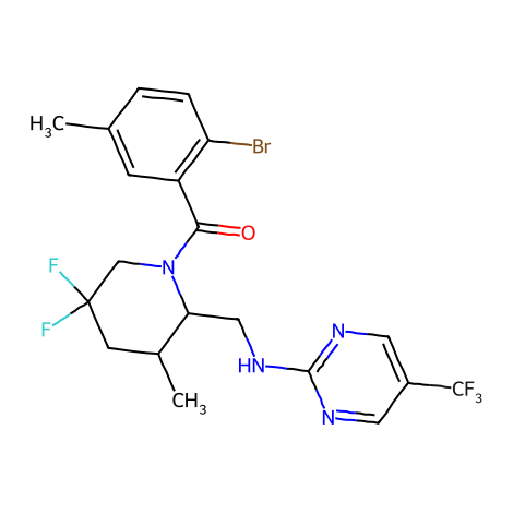 Cc1ccc(Br)c(C(=O)N2CC(F)(F)CC(C)C2CNc2ncc(C(F)(F)F)cn2)c1